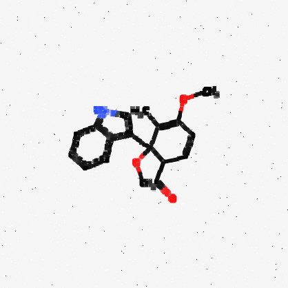 COC1=C(C)C(OC)(c2c[nH]c3ccccc23)C(C=O)C=C1